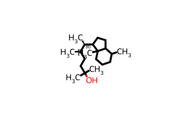 CC1CCCC2(C)C1CCC2[C@H](C)[C@H](C)CCC(C)(C)O